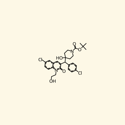 CC(C)(C)OC(=O)N1CCC(O)(C(c2ccc(Cl)cc2)c2cc3cc(Cl)ccc3n(CCO)c2=O)CC1